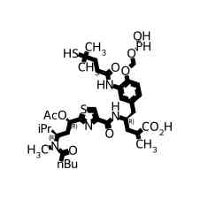 CCCCC(=O)N(C)[C@H](C[C@@H](OC(C)=O)c1nc(C(=O)N[C@@H](Cc2ccc(OCOPO)c(NC(=O)CCC(C)(C)S)c2)CC(C)C(=O)O)cs1)C(C)C